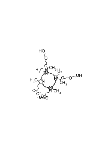 CC1=C(CCC(=O)[O-])c2cc3[nH]c(cc4nc(cc5[nH]c(cc1n2)c(C)c5C(C)OCCOCCO)C(C)=C4C(C)OCCOCCO)c(C)c3CCC(=O)[O-].[Mn+2]